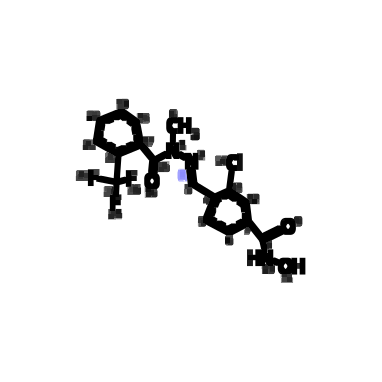 CN(/N=C/c1ccc(C(=O)NO)cc1Cl)C(=O)c1ccccc1C(F)(F)F